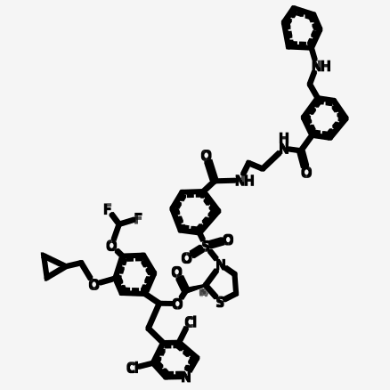 O=C(NCCNC(=O)c1cccc(S(=O)(=O)N2CCS[C@H]2C(=O)OC(Cc2c(Cl)cncc2Cl)c2ccc(OC(F)F)c(OCC3CC3)c2)c1)c1cccc(CNc2ccccc2)c1